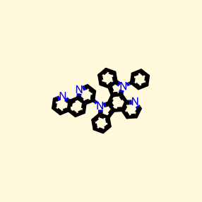 c1ccc(-n2c3ccccc3c3c2c2ncccc2c2c4ccccc4n(-c4ccnc5c4ccc4cccnc45)c23)cc1